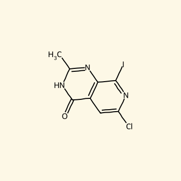 Cc1nc2c(I)nc(Cl)cc2c(=O)[nH]1